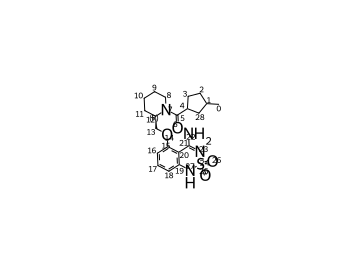 CC1CCC(C(=O)N2CCCC[C@@H]2COc2cccc3c2C(N)=NS(=O)(=O)N3)C1